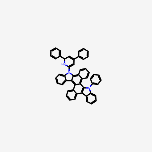 C1=C(c2ccccc2)C=C(n2c3ccccc3c3c4c5ccccc5c5c6ccccc6n(-c6ccccc6)c5c4c4ccccc4c32)NC1c1ccccc1